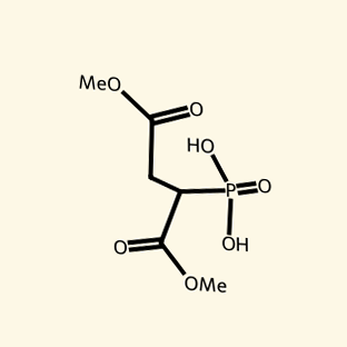 COC(=O)CC(C(=O)OC)P(=O)(O)O